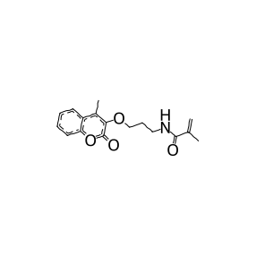 C=C(C)C(=O)NCCCOc1c(C)c2ccccc2oc1=O